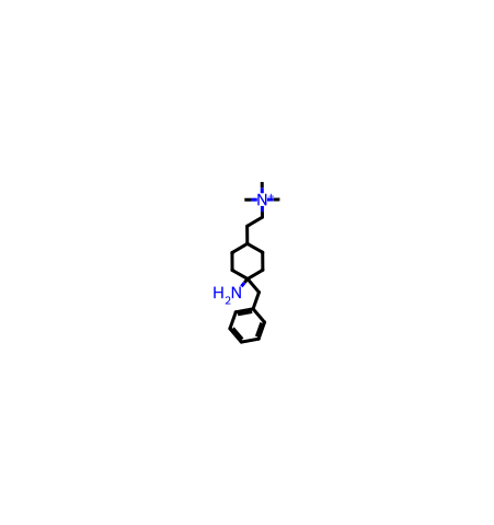 C[N+](C)(C)CCC1CCC(N)(Cc2ccccc2)CC1